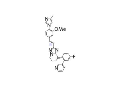 COc1cc(/C=C/c2nc3n(n2)CCC[C@@H]3c2ccc(F)cc2-c2cccnc2)ccc1-n1cnc(C)c1